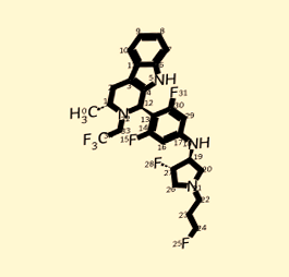 C[C@@H]1Cc2c([nH]c3ccccc23)[C@@H](c2c(F)cc(N[C@H]3CN(CCCF)C[C@@H]3F)cc2F)N1CC(F)(F)F